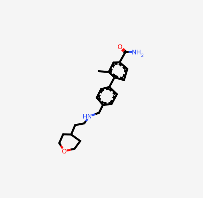 Cc1cc(C(N)=O)ccc1-c1ccc(CNCCC2CCOCC2)cc1